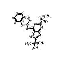 CC(C)(C)c1nc2nc(S(C)(=O)=O)nc(NC(CO)Cc3ccccc3)c2[nH]1